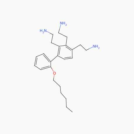 CCCCCCOc1ccccc1-c1ccc(CCN)c(CCN)c1CCN